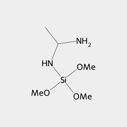 CO[Si](NC(C)N)(OC)OC